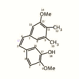 COc1ccc(/C=C\c2cc(C)c(C)c(OC)c2)cc1O